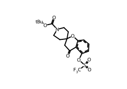 CC(C)(C)OC(=O)N1CCC2(CC1)CC(=O)c1c(cccc1OS(=O)(=O)C(F)(F)F)O2